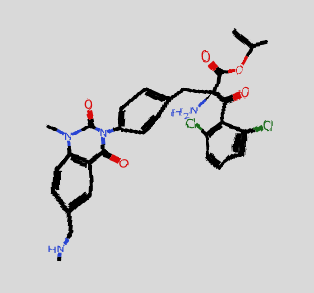 CNCc1ccc2c(c1)c(=O)n(-c1ccc(C[C@](N)(C(=O)OC(C)C)C(=O)c3c(Cl)cccc3Cl)cc1)c(=O)n2C